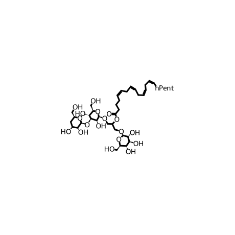 CCCCC/C=C\C/C=C\C/C=C\C/C=C\CCCC(=O)OC(CO[C@@H]1O[C@H](CO)[C@@H](O)[C@H](O)[C@H]1O)CO[C@@H]1O[C@H](CO)[C@@H](O)[C@H](O[C@@H]2O[C@H](CO)C[C@H](O)[C@H]2O)[C@H]1O